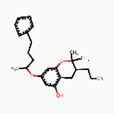 CC(CCCc1ccccc1)Oc1cc(O)c2c(c1)OC(C)(C)C(CCC#N)C2